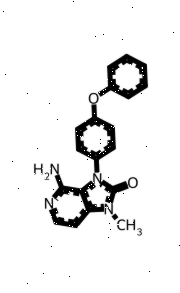 Cn1c(=O)n(-c2ccc(Oc3ccccc3)cc2)c2c(N)nccc21